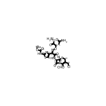 BOC(=O)[C@H](CC(N)=O)O/N=C(\C(=O)N[C@@H]1C(=O)N2C(C=O)=C(CCl)CS[C@H]12)c1csc(NC(=O)OC(C)(C)C)n1